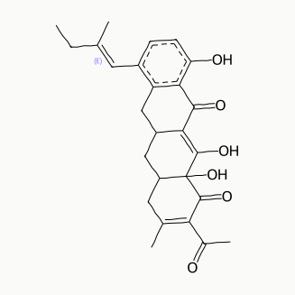 CC/C(C)=C/c1ccc(O)c2c1CC1CC3CC(C)=C(C(C)=O)C(=O)C3(O)C(O)=C1C2=O